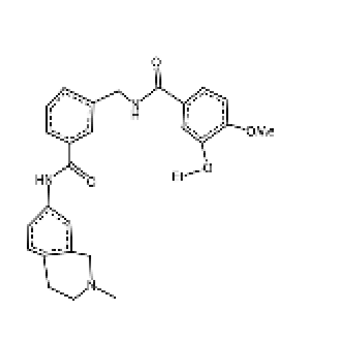 CCOc1cc(C(=O)NCc2cccc(C(=O)Nc3ccc4c(c3)CN(C)CC4)c2)ccc1OC